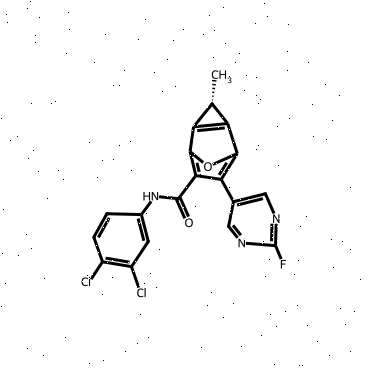 C[C@H]1c2c1c1oc2c(C(=O)Nc2ccc(Cl)c(Cl)c2)c1-c1cnc(F)nc1